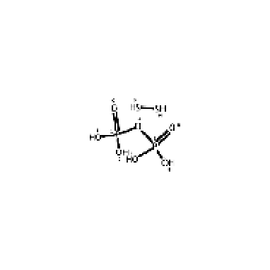 O=P(O)(O)OP(=O)(O)O.SS